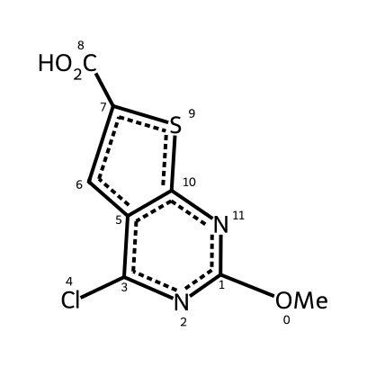 COc1nc(Cl)c2cc(C(=O)O)sc2n1